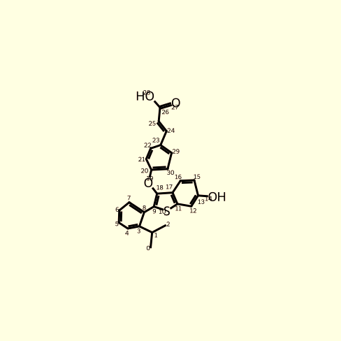 CC(C)c1ccccc1-c1sc2cc(O)ccc2c1Oc1ccc(C=CC(=O)O)cc1